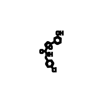 O=C(NCc1ccc(Cl)cc1)c1ccc(-c2cccc(O)c2)o1